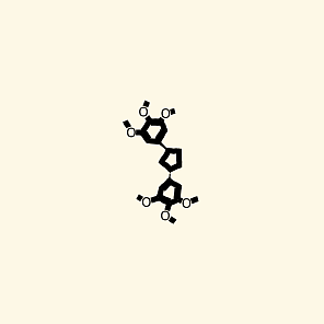 COc1cc([C@H]2CC[C@H](c3cc(OC)c(OC)c(OC)c3)C2)cc(OC)c1OC